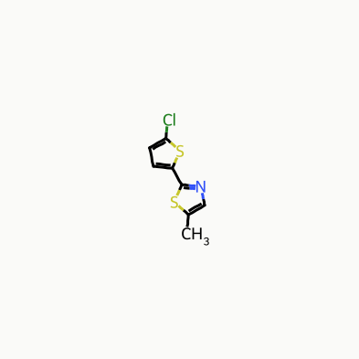 Cc1cnc(-c2ccc(Cl)s2)s1